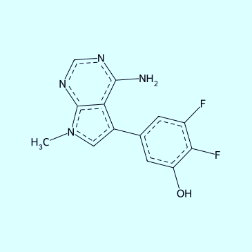 Cn1cc(-c2cc(O)c(F)c(F)c2)c2c(N)ncnc21